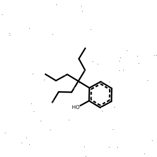 CCCC(CCC)(CCC)c1ccccc1O